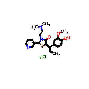 C=CC(=C1SC(c2cccnc2)N(CCN(C)C)C1=O)c1ccc(O)c(OC)c1.Cl